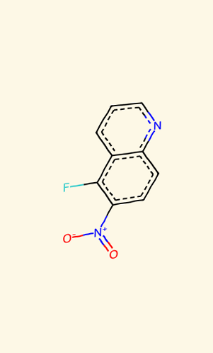 O=[N+]([O-])c1ccc2ncccc2c1F